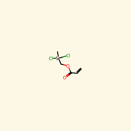 C=CC(=O)OC[Si](C)(Cl)Cl